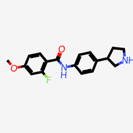 COc1ccc(C(=O)Nc2ccc(C3CCNC3)cc2)c(F)c1